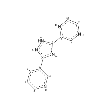 c1cnc(-c2n[nH]c(-c3cnccn3)n2)cn1